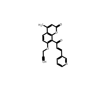 C#CCOc1ccc2c(C)cc(=O)oc2c1C(=O)C=Cc1cccnc1